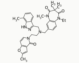 CCN1C(=O)C(C)(C)C(=O)N(C)c2cc(CN(CCn3ccc4oc(C)cc4c3=O)Cc3n[nH]c4c(C)cccc34)ccc21